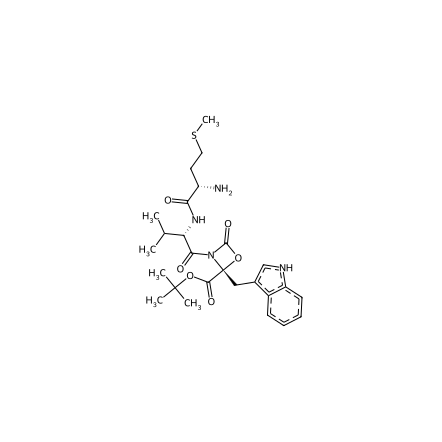 CSCC[C@H](N)C(=O)N[C@H](C(=O)N1C(=O)O[C@]1(Cc1c[nH]c2ccccc12)C(=O)OC(C)(C)C)C(C)C